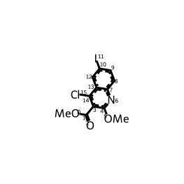 COC(=O)c1c(OC)nc2ccc(I)cc2c1Cl